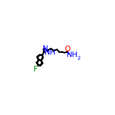 NC(=O)CCCCCCc1ncc(-c2ccc3cc(F)ccc3c2)[nH]1